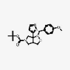 COc1ccc(CN2OCC3CN(C(=O)OC(C)(C)C)CC32c2ccns2)cc1